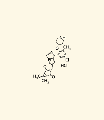 Cc1cc(Cl)cc(-c2ncnn3cc(CN4C(=O)C5C(C4=O)C5(C)C)cc23)c1OC1CCNCC1.Cl